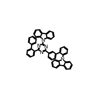 c1ccc(-c2ccccc2-c2nc(-c3cccc(-c4ccccc4-n4c5ccccc5c5ccccc54)c3)nc(-n3c4ccccc4c4ccccc43)n2)cc1